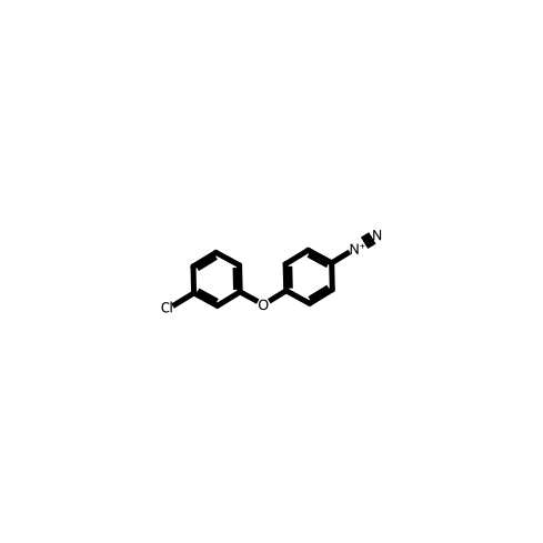 N#[N+]c1ccc(Oc2cccc(Cl)c2)cc1